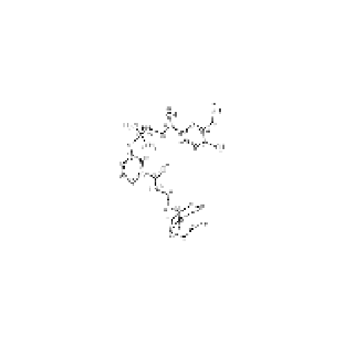 CC(C)(Cc1cccc(C(=O)NCCC23CC4CC(CC(C4)C2)C3)c1)NC[C@@H](O)c1ccc(O)c(CO)c1